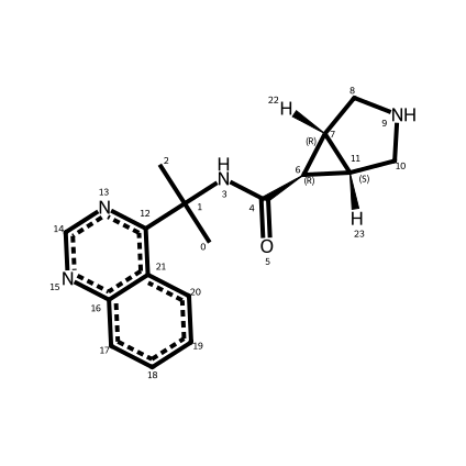 CC(C)(NC(=O)[C@H]1[C@@H]2CNC[C@@H]21)c1ncnc2ccccc12